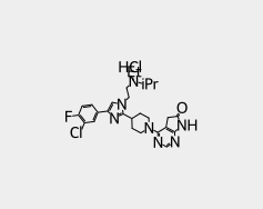 CCN(CCn1cc(-c2ccc(F)c(Cl)c2)nc1C1CCN(c2ncnc3c2CC(=O)N3)CC1)C(C)C.Cl